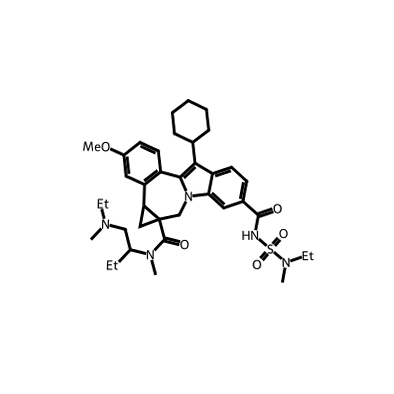 CCC(CN(C)CC)N(C)C(=O)C12CC1c1cc(OC)ccc1-c1c(C3CCCCC3)c3ccc(C(=O)NS(=O)(=O)N(C)CC)cc3n1C2